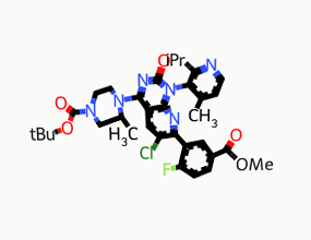 COC(=O)c1ccc(F)c(-c2nc3c(cc2Cl)c(N2CCN(C(=O)OC(C)(C)C)CC2C)nc(=O)n3-c2c(C)ccnc2C(C)C)c1